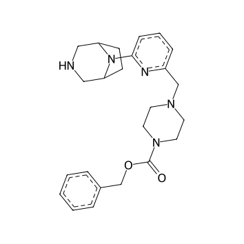 O=C(OCc1ccccc1)N1CCN(Cc2cccc(N3C4CCC3CNC4)n2)CC1